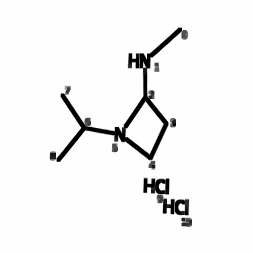 CNC1CCN1C(C)C.Cl.Cl